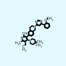 CCc1c(C)nc(C)c(-c2ccc3c(c2)CCN(c2cc(-c4ccccc4OC)ncn2)C3)c1N1CCC(C)(C)CC1